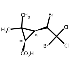 CC1(C)[C@H](C(=O)O)[C@@H]1C(Br)C(Cl)(Cl)Br